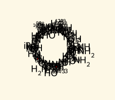 CCCC[C@H]1C(=O)N(C)[C@@H](CO)C(=O)N[C@@H](CCCNC(=N)N)C(=O)NC(C(=O)NCC(N)=O)CSCC(=O)N[C@@H](Cc2ccc(O)cc2)C(=O)N(C)[C@@H](C)C(=O)N[C@@H](CC(N)=O)C(=O)N2CCC[C@H]2C(=O)N[C@@H](Cc2cnc[nH]2)C(=O)N[C@@H](CC(C)C)C(=O)N2CCCC2(C=O)N[C@@H](Cc2c[nH]c3ccccc23)C(=O)N[C@@H](CO)C(=O)N[C@@H](Cc2c[nH]c3ccccc23)C(=O)N1C